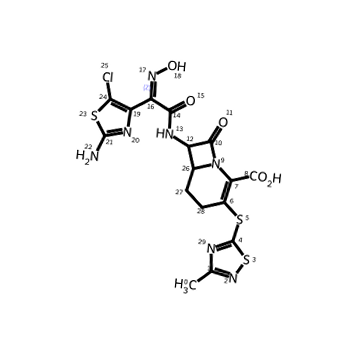 Cc1nsc(SC2=C(C(=O)O)N3C(=O)C(NC(=O)/C(=N\O)c4nc(N)sc4Cl)C3CC2)n1